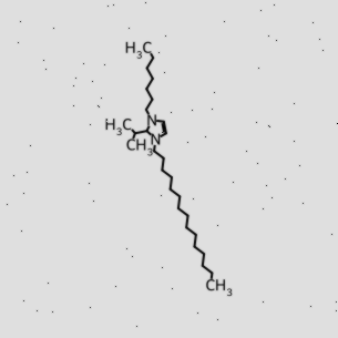 CCCCCCCCCCCCCCCN1C=CN(CCCCCCC)C1C(C)C